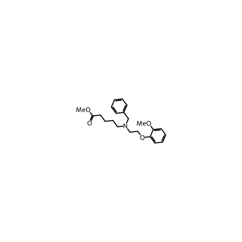 COC(=O)CCCCN(CCOc1ccccc1OC)Cc1ccccc1